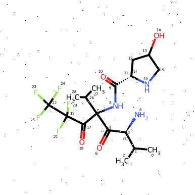 CC(C)[C@H](N)C(=O)C(NC(=O)[C@@H]1CC(O)CN1)(C(=O)C(F)(F)C(F)(F)F)C(C)C